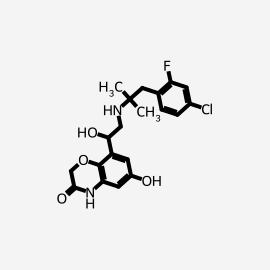 CC(C)(Cc1ccc(Cl)cc1F)NCC(O)c1cc(O)cc2c1OCC(=O)N2